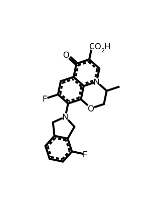 CC1COc2c(N3Cc4cccc(F)c4C3)c(F)cc3c(=O)c(C(=O)O)cn1c23